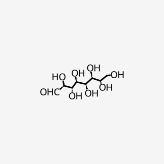 O=C[C@@H](O)[C@@H](O)[C@@H](O)[C@H](O)[C@@H](O)[C@@H](O)CO